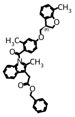 Cc1cc(OC[C@@H]2COc3c(C)cccc32)ccc1C(=O)n1c(C)c(CC(=O)OCc2ccccc2)c2ccccc21